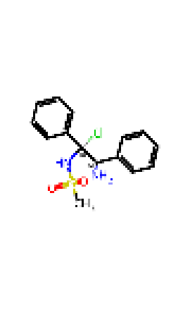 CS(=O)(=O)N[C@@](Cl)(c1ccccc1)[C@@H](N)c1ccccc1